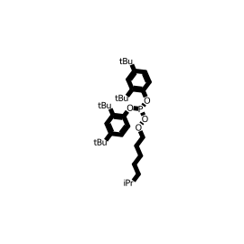 CC(C)CCCCCOOP(Oc1ccc(C(C)(C)C)cc1C(C)(C)C)Oc1ccc(C(C)(C)C)cc1C(C)(C)C